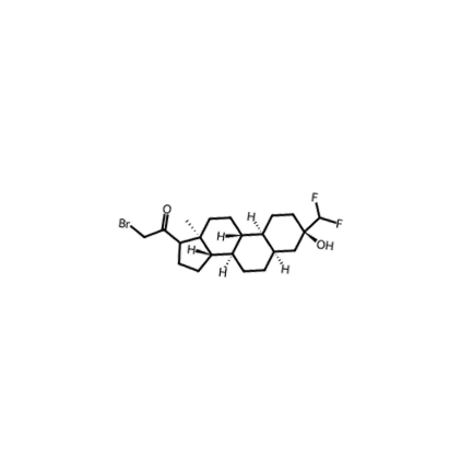 C[C@]12CC[C@H]3[C@@H](CC[C@@H]4C[C@@](O)(C(F)F)CC[C@@H]43)[C@@H]1CCC2C(=O)CBr